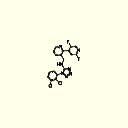 Fc1cc(-c2ncccc2CNc2nnnn2-c2cccc(Cl)c2Cl)c(F)cn1